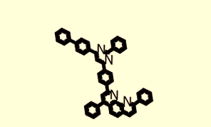 c1ccc(-c2ccc(-c3cc(-c4ccc(-c5cc(-c6ccccc6)c6ccc7ccc(-c8ccccc8)nc7c6n5)cc4)nc(-c4ccccc4)n3)cc2)cc1